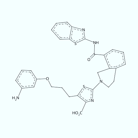 Nc1cccc(OCCCc2sc(N3CCc4cccc(C(=O)Nc5nc6ccccc6s5)c4C3)nc2C(=O)O)c1